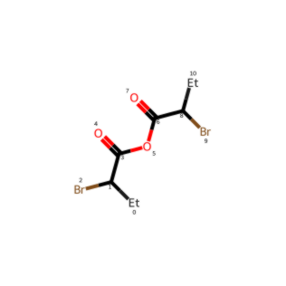 CCC(Br)C(=O)OC(=O)C(Br)CC